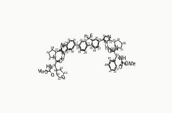 COC(=O)N[C@H](C(=O)N1CCC[C@H]1c1nc2ccc(-c3ccc4c(c3)C(F)(F)c3cc(-c5cnc(C6CCCN6C(=O)[C@H](NC(=O)OC)c6ccccc6)[nH]5)ccc3-4)cc2[nH]1)C1CCOCC1